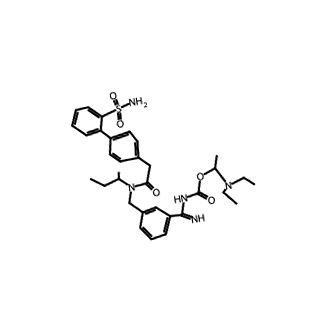 CCC(C)N(Cc1cccc(C(=N)NC(=O)OC(C)N(CC)CC)c1)C(=O)Cc1ccc(-c2ccccc2S(N)(=O)=O)cc1